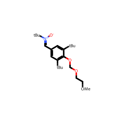 COCCOCOc1c(C(C)(C)C)cc(C=[N+]([O-])C(C)(C)C)cc1C(C)(C)C